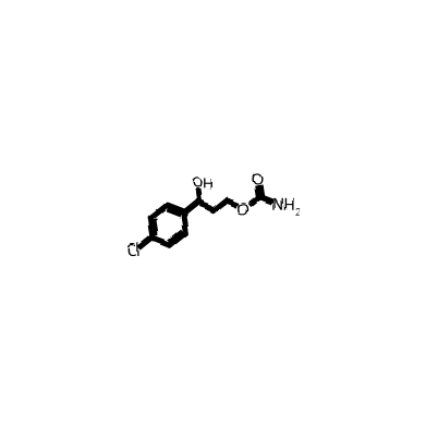 NC(=O)OCCC(O)c1ccc(Cl)cc1